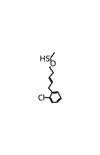 C[SiH](C)OCCC=CCc1ccccc1Cl